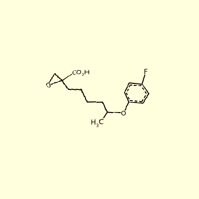 CC(CCCCC1(C(=O)O)CO1)Oc1ccc(F)cc1